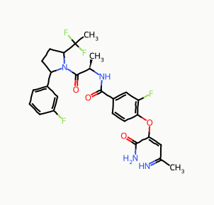 CC(=N)/C=C(/Oc1ccc(C(=O)N[C@H](C)C(=O)N2C(c3cccc(F)c3)CCC2C(C)(F)F)cc1F)C(N)=O